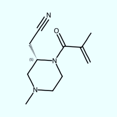 C=C(C)C(=O)N1CCN(C)C[C@@H]1CC#N